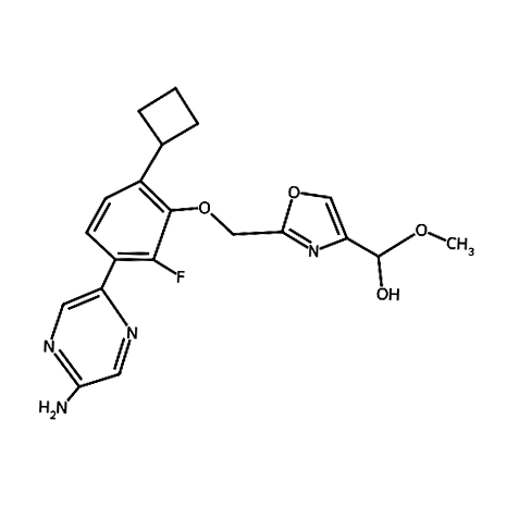 COC(O)c1coc(COc2c(C3CCC3)ccc(-c3cnc(N)cn3)c2F)n1